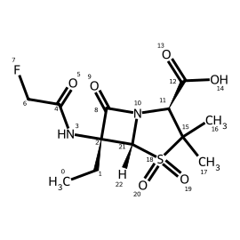 CC[C@@]1(NC(=O)CF)C(=O)N2[C@@H](C(=O)O)C(C)(C)S(=O)(=O)[C@@H]21